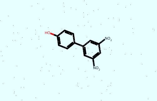 O=[N+]([O-])c1cc(-c2ccc(O)cc2)cc([N+](=O)[O-])c1